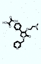 CN(C)CCOC1=C(c2ccccc2)CN(Cc2cccnc2)C1=O.O=C(O)C(=O)O